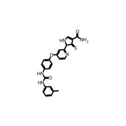 Cc1cccc(NC(=O)Nc2ccc(Oc3ccnc(C4NC=C(C(N)=O)C4=S)c3)cc2)c1